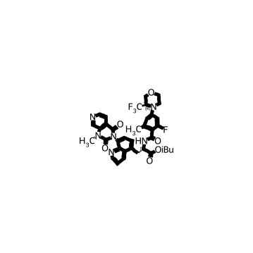 Cc1cc(N2CCOC[C@@H]2C(F)(F)F)cc(F)c1C(=O)N[C@@H](Cc1ccc(-n2c(=O)c3ccncc3n(C)c2=O)c2ncccc12)C(=O)OCC(C)C